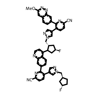 COc1cc2ccc(-c3nc(C#N)ccc3-c3cnn(C[C@@H]4C[C@@H](F)CC4c4ccnc5cc(-c6nc(C#N)ccc6-c6cnn(C[C@H]7CC[C@H](F)C7)c6)ccc45)c3)cc2nn1